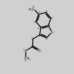 COC(=O)Cc1csc2ccc(C)cc12